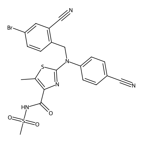 Cc1sc(N(Cc2ccc(Br)cc2C#N)c2ccc(C#N)cc2)nc1C(=O)NS(C)(=O)=O